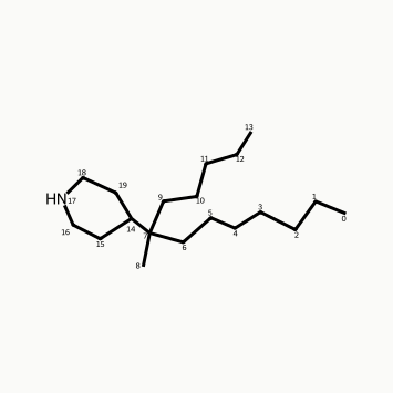 CCCCCCCC(C)(CCCCC)C1CCNCC1